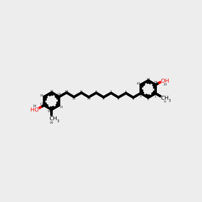 Cc1cc(CCCCCCCCCCc2ccc(O)c(C)c2)ccc1O